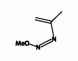 C=C(C)/N=N\OC